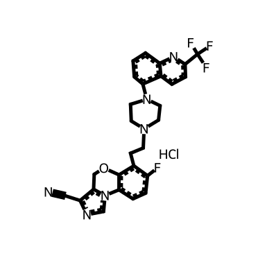 Cl.N#Cc1ncn2c1COc1c-2ccc(F)c1CCN1CCN(c2cccc3nc(C(F)(F)F)ccc23)CC1